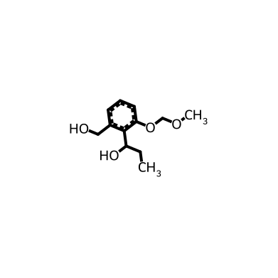 CCC(O)c1c(CO)cccc1OCOC